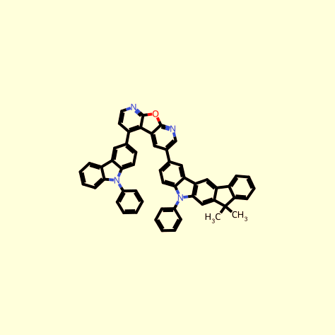 CC1(C)c2ccccc2-c2cc3c4cc(-c5cnc6oc7nccc(-c8ccc9c(c8)c8ccccc8n9-c8ccccc8)c7c6c5)ccc4n(-c4ccccc4)c3cc21